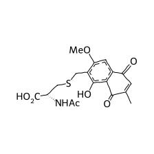 COc1cc2c(c(O)c1CSC[C@H](NC(C)=O)C(=O)O)C(=O)C(C)=CC2=O